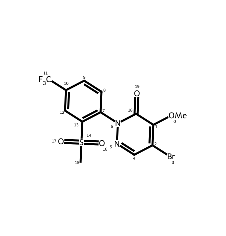 COc1c(Br)cnn(-c2ccc(C(F)(F)F)cc2S(C)(=O)=O)c1=O